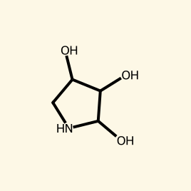 OC1CNC(O)C1O